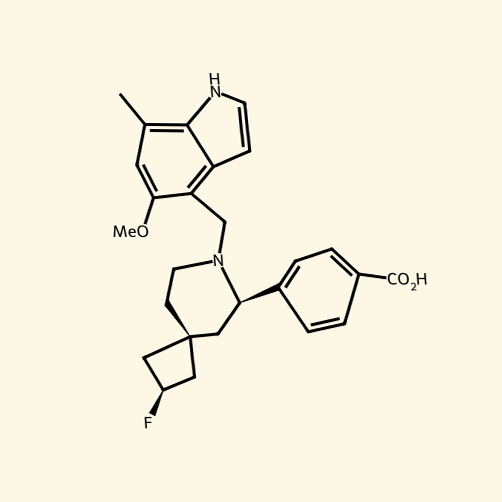 COc1cc(C)c2[nH]ccc2c1CN1CC[C@]2(C[C@@H]1c1ccc(C(=O)O)cc1)C[C@H](F)C2